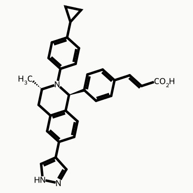 C[C@H]1Cc2cc(-c3cn[nH]c3)ccc2[C@H](c2ccc(/C=C/C(=O)O)cc2)N1c1ccc(C2CC2)cc1